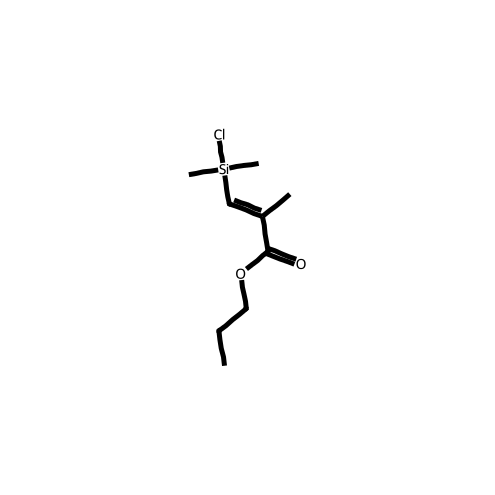 CCCOC(=O)C(C)=C[Si](C)(C)Cl